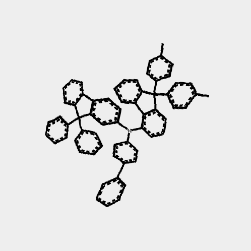 Cc1ccc(C2(c3ccc(C)cc3)c3ccccc3-c3c(N(c4ccc(-c5ccccc5)cc4)c4ccc5c(c4)C(c4ccccc4)(c4ccccc4)c4ccccc4-5)cccc32)cc1